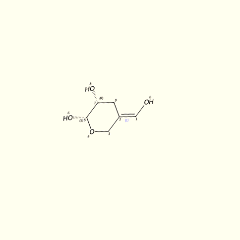 O/C=C1/CO[C@H](O)[C@H](O)C1